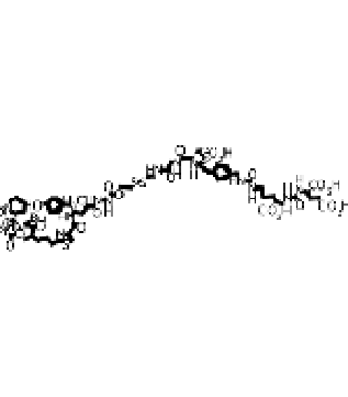 CCCC(=O)OCC(CCCc1nc(C(=O)N[C@@H](Cc2ccc(O)cc2)C[C@H](C)C(=O)NNC(=O)OCCSSCCNC(=O)CNC(=O)[C@H](CC(=O)O)NC(=O)Cc2ccc(CNC(=O)NCCCC[C@H](NC(=O)N[C@@H](CCC(=O)O)C(=O)O)C(=O)O)cc2)cs1)C(=O)C(NC(=O)[C@H]1CCCCN1C)C(C)CC